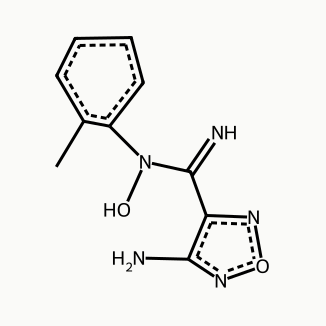 Cc1ccccc1N(O)C(=N)c1nonc1N